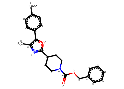 COc1ccc(-c2oc(C3CCN(C(=O)OCc4ccccc4)CC3)nc2C(F)(F)F)cc1